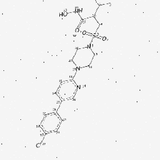 CC(C)C(CS(=O)(=O)N1CCN(c2ccc(-c3ccc(Cl)cc3)cn2)CC1)C(=O)NO